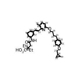 CCC(CC)(CC(=O)Nc1cccc(C=Cc2nc(OCCCCc3ccc(OCC4CC4)cc3)ccc2C)c1)C(=O)O